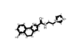 O=C(NCCn1ccnc1)c1cc2c(s1)-c1cccc(F)c1CC2